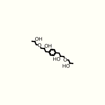 CC(O)COCC(O)Cc1ccc(CC(O)COCC(C)O)cc1